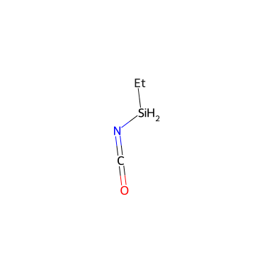 CC[SiH2]N=C=O